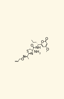 C=CCO/N=C(\C)C1=N[C@](N)(C(=O)N[C@H](CCC)c2cc(OC)cc(=O)o2)CS1